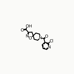 O=C(O)C1=NOC2(CCN(C(=O)c3cccnc3Cl)CC2)C1